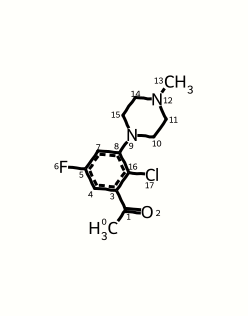 CC(=O)c1cc(F)cc(N2CCN(C)CC2)c1Cl